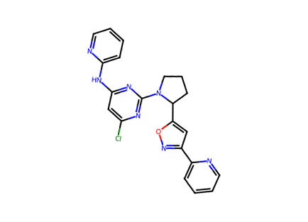 Clc1cc(Nc2ccccn2)nc(N2CCCC2c2cc(-c3ccccn3)no2)n1